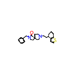 O=C1N(Cc2ccccc2)CCC12CCN(CCC1CCCc3sccc31)CC2